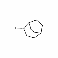 IN1CCC2CCC1CC2